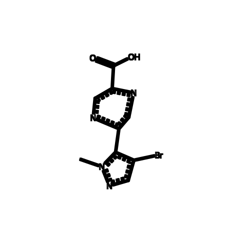 Cn1ncc(Br)c1-c1cnc(C(=O)O)cn1